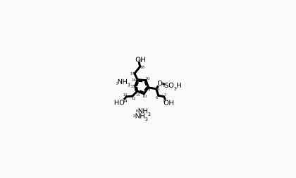 N.N.N.O=S(=O)(O)OC(CCO)c1cc(CCO)cc(CCO)c1